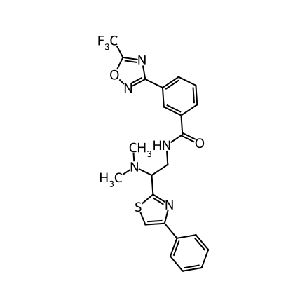 CN(C)C(CNC(=O)c1cccc(-c2noc(C(F)(F)F)n2)c1)c1nc(-c2ccccc2)cs1